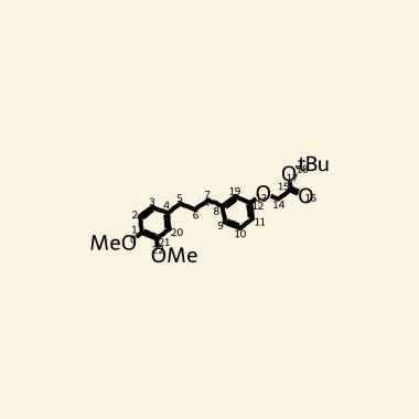 COc1ccc(CC[CH]c2cccc(OCC(=O)OC(C)(C)C)c2)cc1OC